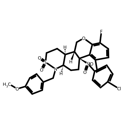 COc1ccc(CN2[C@@H]3CC[C@@]4(S(=O)(=O)c5ccc(Cl)cc5)c5c(F)ccc(F)c5OC[C@H]4[C@@H]3CCS2(=O)=O)cc1